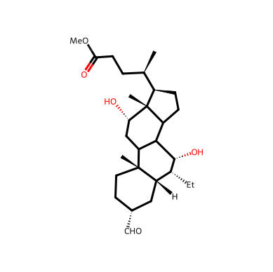 CC[C@H]1[C@@H](O)C2C3CC[C@H]([C@H](C)CCC(=O)OC)[C@@]3(C)[C@@H](O)CC2[C@@]2(C)CC[C@@H](C=O)C[C@@H]12